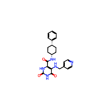 O=C(N[C@H]1CC[C@@H](c2ccccc2)CC1)c1[nH]c(=O)[nH]c(=O)c1NCc1ccncc1